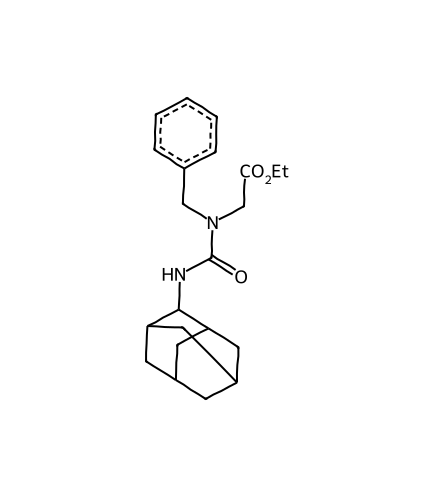 CCOC(=O)CN(Cc1ccccc1)C(=O)NC1C2CC3CC(C2)CC1C3